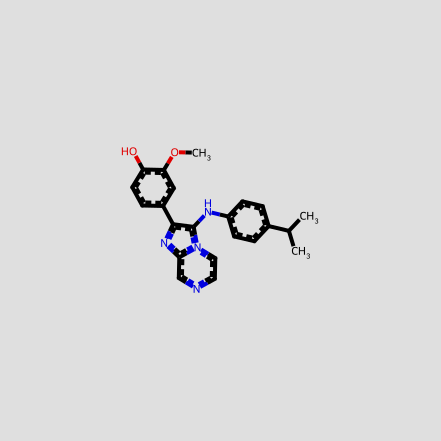 COc1cc(-c2nc3cnccn3c2Nc2ccc(C(C)C)cc2)ccc1O